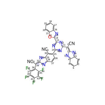 N#CC(=C1N=c2ccccc2=N1)c1nc(-c2nc3ccccc3o2)nc(-c2ccc3c(c2C#N)=N/C(=C(\C#N)c2c(F)c(F)c(F)c(F)c2F)N=3)n1